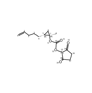 C=CCCC[C@@H]1C[C@@]1(C)OC(=O)ON1C(=O)CCC1=O